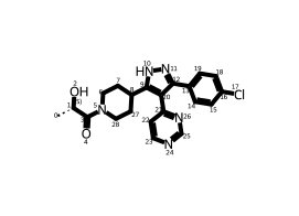 C[C@H](O)C(=O)N1CCC(c2[nH]nc(-c3ccc(Cl)cc3)c2-c2ccncn2)CC1